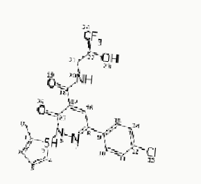 CC1=CC=C[SH]1n1nc(-c2ccc(Cl)cc2)cc(C(=O)NC[C@H](O)C(F)(F)F)c1=O